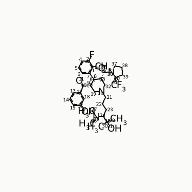 Cc1c(F)cccc1[C@@H]1[C@@H](C(=O)c2cccc(O)c2)CN(CCCC(N(C)C)C(C)(C)O)C[C@H]1C(=O)N1CCC[C@H]1C(F)(F)F